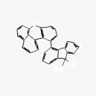 CC1(C)c2ccccc2-c2c(-c3cccc4c3-c3cccc5cccc(c35)S4)cccc21